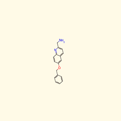 NCc1ccc2cc(OCc3ccccc3)ccc2n1